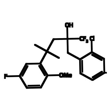 COc1ccc(F)cc1C(C)(C)CC(O)(Cc1cc[c]cc1Cl)C(F)(F)F